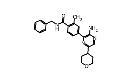 Cc1cc(-c2nc(C3CCOCC3)cnc2N)ccc1C(=O)NCc1ccccc1